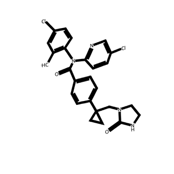 [CH]c1cc(Cl)ccc1N(C(=O)c1ccc(C2(CN3CCNC3=O)CC2)cc1)c1ccc(Cl)cn1